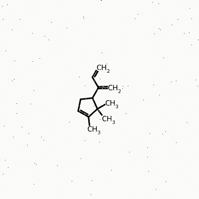 C=CC(=C)C1CC=C(C)C1(C)C